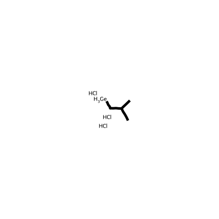 CC(C)[CH2][GeH3].Cl.Cl.Cl